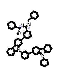 C=N/C(=N\C(=N/Cc1ccccc1)c1cccc(-c2ccc3c4ccccc4n(-c4cccc(-c5ccc6c7ccccc7n(-c7ccccc7)c6c5)c4)c3c2)c1)c1ccccc1